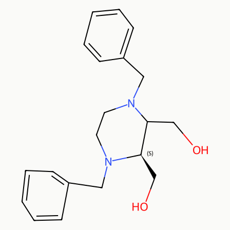 OCC1[C@@H](CO)N(Cc2ccccc2)CCN1Cc1ccccc1